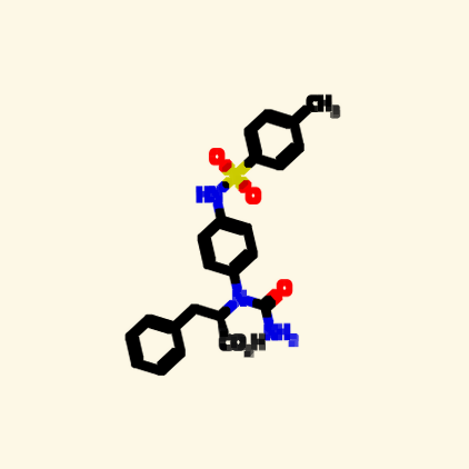 Cc1ccc(S(=O)(=O)Nc2ccc(N(C(N)=O)[C@H](Cc3ccccc3)C(=O)O)cc2)cc1